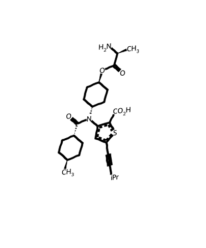 CC(C)C#Cc1cc(N(C(=O)[C@H]2CC[C@H](C)CC2)[C@H]2CC[C@H](OC(=O)[C@H](C)N)CC2)c(C(=O)O)s1